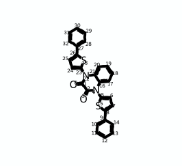 O=c1c(=O)n(-c2ccc(-c3ccccc3)s2)c2ccccc2n1-c1ccc(-c2ccccc2)s1